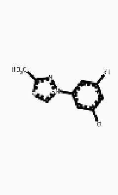 O=C(O)c1ncn(-c2cc(Cl)cc(Cl)c2)n1